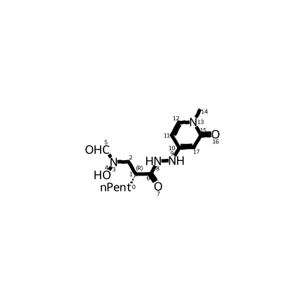 CCCCC[C@H](CN(O)C=O)C(=O)NNc1ccn(C)c(=O)c1